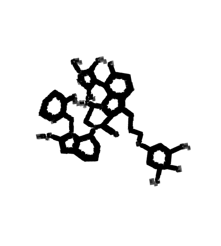 Cc1cccnc1Cn1c(C(=O)O)cc2cccc(N3CC(C)n4c(c(CCCOc5cc(C)c(Cl)c(C)c5)c5ccc(Cl)c(-c6c(C)nn(C)c6C)c54)C3=O)c21